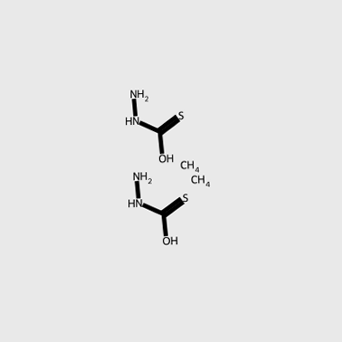 C.C.NNC(O)=S.NNC(O)=S